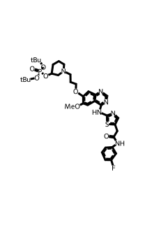 COc1cc2c(Nc3ncc(CC(=O)Nc4cccc(F)c4)s3)ncnc2cc1OCCCN1CCCC(OP(=O)(OC(C)(C)C)OC(C)(C)C)C1